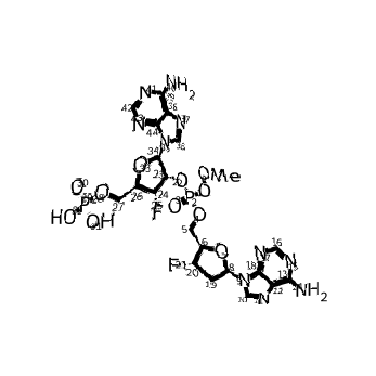 COOP(=O)(OC[C@H]1O[C@@H](n2cnc3c(N)ncnc32)C[C@@H]1F)O[C@@H]1[C@H](F)[C@@H](COP(=O)(O)O)O[C@H]1n1cnc2c(N)ncnc21